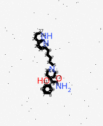 NC(=O)[C@H](c1ccccc1)C1(O)CCN(CCCCCc2ccc3c(n2)NCCC3)CC1